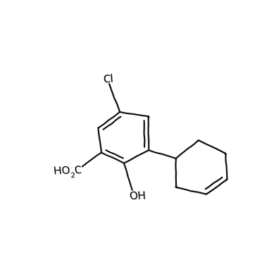 O=C(O)c1cc(Cl)cc(C2CC=CCC2)c1O